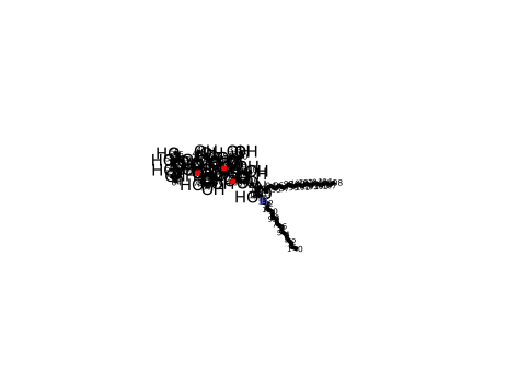 CCCCCCCCCCCCC/C=C/[C@@H](O)[C@H](CO[C@@H]1OC(CO)[C@@H](O[C@@H]2OC(CO)[C@H](O)[C@H](O[C@@H]3OC(CO)[C@@H](O[C@@H]4OC(CO)[C@H](O)[C@H](O[C@@H]5OC(CO)[C@@H](O)[C@H](O)C5NC(C)=O)C4O)[C@H](O[C@H]4OC(C)[C@@H](O)C(O)[C@@H]4O)C3NC(C)=O)C2O)[C@H](O)C1O)NC(=O)CCCCCCCCCCCCCCC